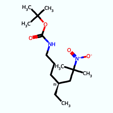 CC[C@@H](CCCNC(=O)OC(C)(C)C)CC(C)(C)[N+](=O)[O-]